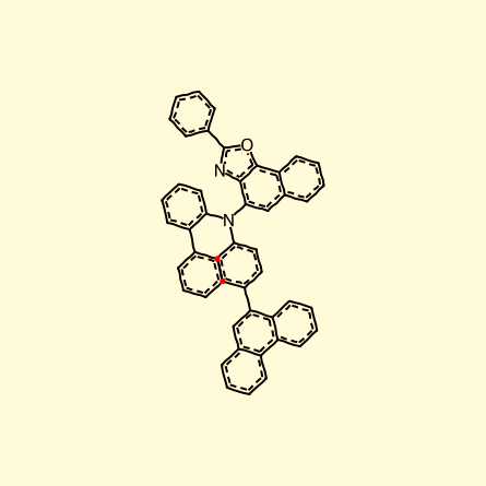 c1ccc(-c2nc3c(N(c4ccc(-c5cc6ccccc6c6ccccc56)cc4)c4ccccc4-c4ccccc4)cc4ccccc4c3o2)cc1